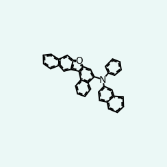 c1ccc(N(c2ccc3ccccc3c2)c2cc3oc4cc5ccccc5cc4c3c3ccccc23)cc1